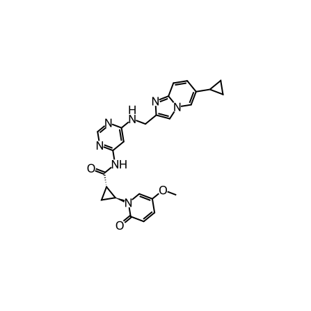 COc1ccc(=O)n([C@H]2C[C@@H]2C(=O)Nc2cc(NCc3cn4cc(C5CC5)ccc4n3)ncn2)c1